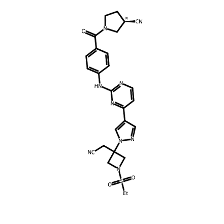 CCS(=O)(=O)N1CC(CC#N)(n2cc(-c3ccnc(Nc4ccc(C(=O)N5CC[C@@H](C#N)C5)cc4)n3)cn2)C1